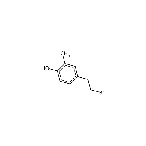 Cc1cc(CCBr)ccc1O